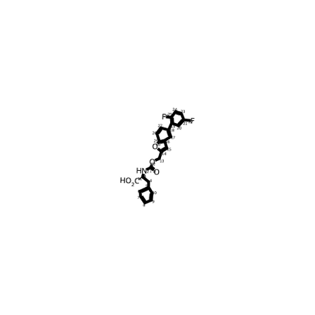 O=C(N[C@H](Cc1ccccc1)C(=O)O)OCc1cc2cc(-c3cc(F)ccc3F)ccc2o1